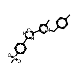 Cc1ccc(Cn2cc(-c3nc(-c4ccc(S(C)(=O)=O)cc4)no3)cc2C)cc1